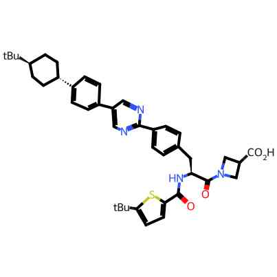 CC(C)(C)c1ccc(C(=O)N[C@@H](Cc2ccc(-c3ncc(-c4ccc([C@H]5CC[C@H](C(C)(C)C)CC5)cc4)cn3)cc2)C(=O)N2CC(C(=O)O)C2)s1